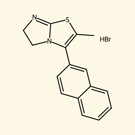 Br.CC1=C(c2ccc3ccccc3c2)N2CCN=C2S1